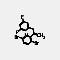 C=C(Cc1cc(F)cc(F)c1)c1nc(Br)ccc1Br